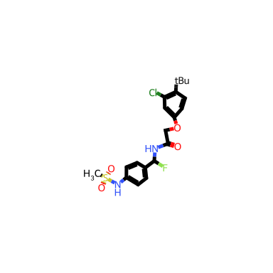 CC(C)(C)c1ccc(OCC(=O)NC(F)c2ccc(NS(C)(=O)=O)cc2)cc1Cl